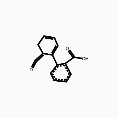 O=C=C1CC=CC=C1c1ccccc1C(=O)O